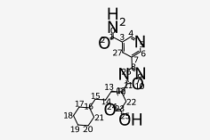 NC(=O)c1cncc(-c2noc([C@H](CCCC3CCCCC3)CC(=O)O)n2)c1